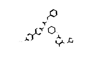 COc1ncc(-c2cnc(N(C(=O)NCc3ccccc3)[C@H]3CC[C@H](Nc4ncc(C(F)(F)F)c(OC5COC5)n4)CC3)nc2)cn1